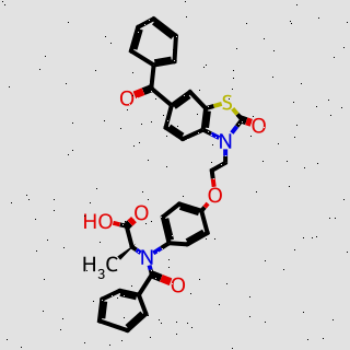 C[C@@H](C(=O)O)N(C(=O)c1ccccc1)c1ccc(OCCn2c(=O)sc3cc(C(=O)c4ccccc4)ccc32)cc1